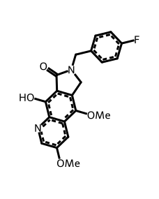 COc1cnc2c(O)c3c(c(OC)c2c1)CN(Cc1ccc(F)cc1)C3=O